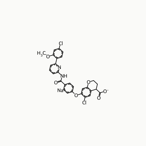 COc1cc(Cl)ccc1-c1cccc(NC(=O)c2ccc(Oc3cc4c(cc3Cl)C(C(=O)[O-])CCO4)cc2)n1.[Na+]